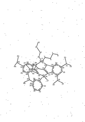 CCC[CH2][Hf]1([CH2]CCC)[CH]2C(CC)=C(c3c(C(C)C)cc(C(C)C)cc32)[Si](C)(c2ccccc2)C2=C(CC)[CH]1c1cc(C(C)C)cc(C(C)C)c12